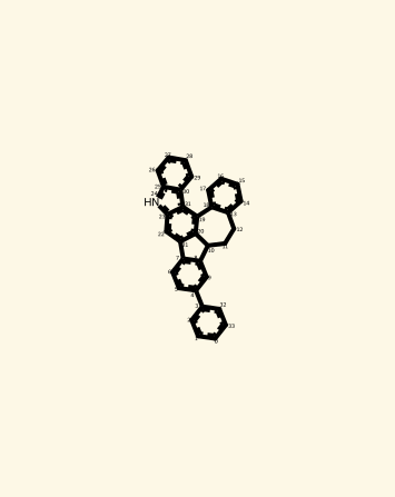 c1ccc(-c2ccc3c(c2)C2CCc4ccccc4-c4c2c-3cc2[nH]c3ccccc3c42)cc1